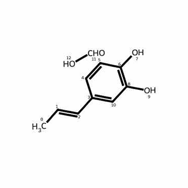 CC=Cc1ccc(O)c(O)c1.O=CO